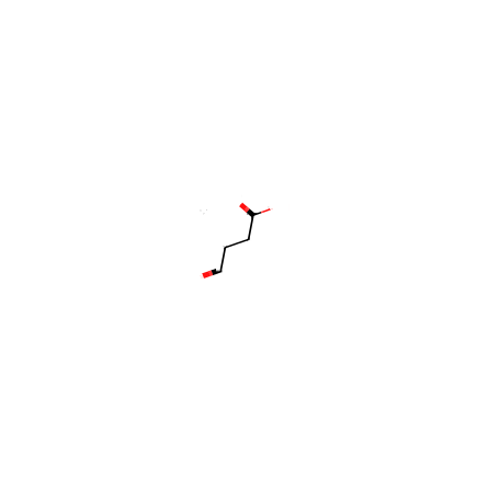 O=CCCC(=O)O.[Mn]